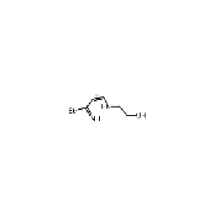 CCC(=N)/C=C\NCCO